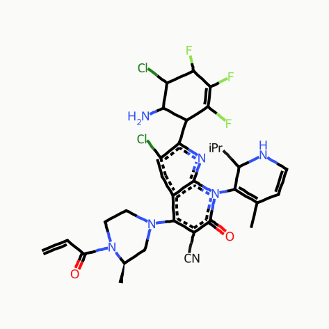 C=CC(=O)N1CCN(c2c(C#N)c(=O)n(C3=C(C)C=CNC3C(C)C)c3nc(C4C(F)=C(F)C(F)C(Cl)C4N)c(Cl)cc23)C[C@H]1C